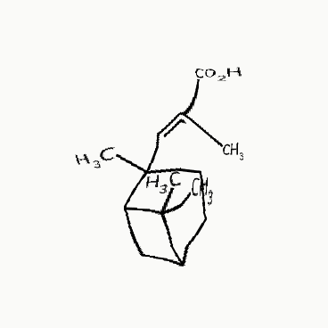 CC(=CC1(C)CCC2CC1C2(C)C)C(=O)O